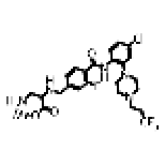 COC(=O)C(CN)NCc1ccc(C(=O)Nc2ccc(Cl)cc2N2CCN(CCC(F)(F)F)CC2)c(F)c1